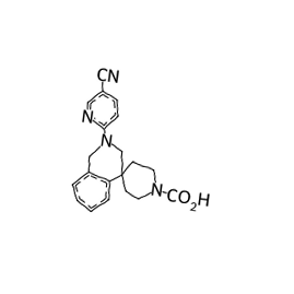 N#Cc1ccc(N2Cc3ccccc3C3(CCN(C(=O)O)CC3)C2)nc1